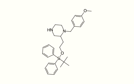 COc1ccc(CN2CCNCC2CCO[Si](c2ccccc2)(c2ccccc2)C(C)(C)C)cc1